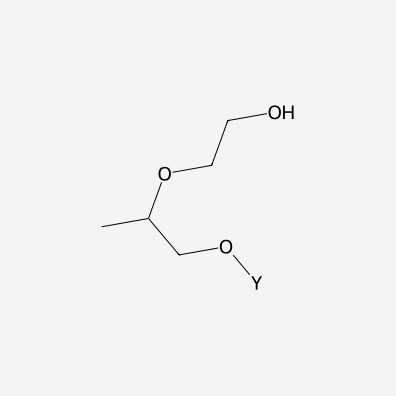 CC(C[O][Y])OCCO